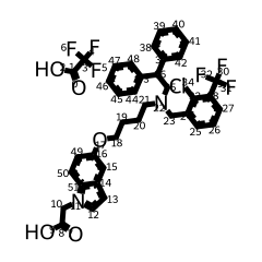 O=C(O)C(F)(F)F.O=C(O)Cn1ccc2cc(OCCCCN(Cc3cccc(C(F)(F)F)c3Cl)CC(c3ccccc3)c3ccccc3)ccc21